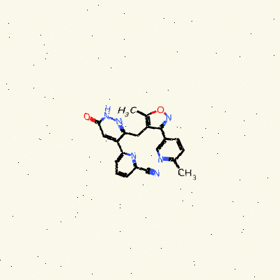 Cc1ccc(-c2noc(C)c2Cc2n[nH]c(=O)cc2-c2cccc(C#N)n2)cn1